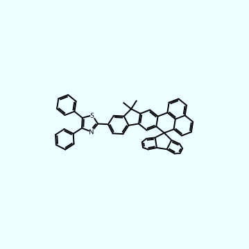 CC1(C)c2cc(-c3nc(-c4ccccc4)c(-c4ccccc4)s3)ccc2-c2cc3c(cc21)-c1cccc2cccc(c12)C31c2ccccc2-c2ccccc21